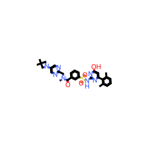 Cc1cccc(C)c1-c1cc(O)nc(NS(=O)(=O)c2cccc(C(=O)N(C)Cc3ncc(N4CC(C)(C)C4)cn3)c2)n1